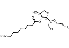 C=CCO[C@H](CO)[C@H]1OC[C@H](O)[C@H]1OC(=O)CCCCCCCCCCCCCCCCC